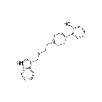 Oc1ccccc1C1=CCN(CCSCc2c[nH]c3ccccc23)CC1